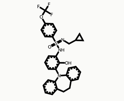 O=S(=NCC1CC1)(Nc1cccc(N2c3ccccc3CCc3ccccc32)c1O)c1ccc(OC(F)(F)F)cc1